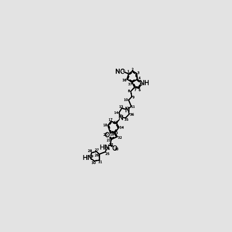 N#Cc1ccc2[nH]cc(CCCCN3CCN(c4ccc5oc(C(=O)NCC6CCNCC6)cc5c4)CC3)c2c1